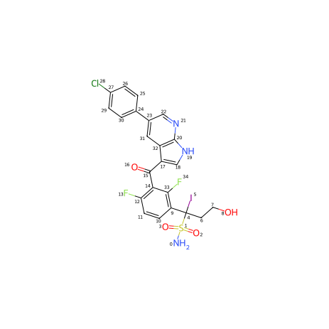 NS(=O)(=O)C(I)(CCO)c1ccc(F)c(C(=O)c2c[nH]c3ncc(-c4ccc(Cl)cc4)cc23)c1F